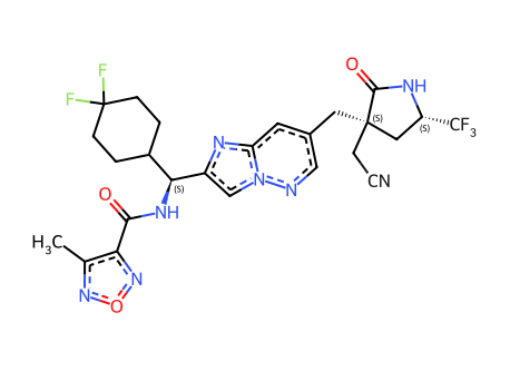 Cc1nonc1C(=O)N[C@H](c1cn2ncc(C[C@@]3(CC#N)C[C@@H](C(F)(F)F)NC3=O)cc2n1)C1CCC(F)(F)CC1